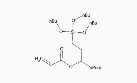 C=CC(=O)OC(CCCCC)CC[Si](OCCCC)(OCCCC)OCCCC